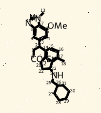 CCOC(=O)CC(c1cc(OC)c2c(c1)nnn2C)c1ccc(C)c2c1CCC2NCC1CCCCC1